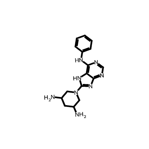 NC1CC(N)CN(c2nc3ncnc(Nc4ccccc4)c3[nH]2)C1